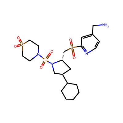 NCc1ccnc(S(=O)(=O)C[C@@H]2CC(C3CCCCC3)CN2S(=O)(=O)N2CCS(=O)(=O)CC2)c1